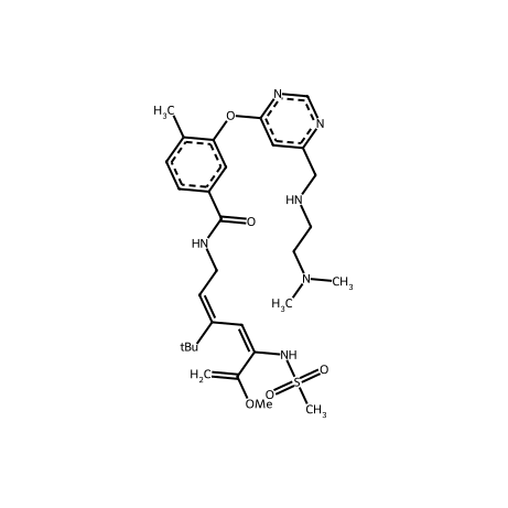 C=C(OC)/C(=C\C(=C/CNC(=O)c1ccc(C)c(Oc2cc(CNCCN(C)C)ncn2)c1)C(C)(C)C)NS(C)(=O)=O